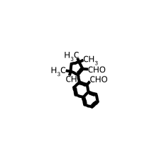 CC1(C)CC(C)(C)C(c2ccc3ccccc3c2C=O)=C1C=O